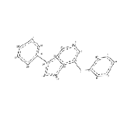 [c]1ncc(Cc2ccccc2)c2scc(-c3ccccc3)c12